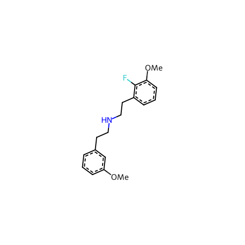 COc1cccc(CCNCCc2cccc(OC)c2F)c1